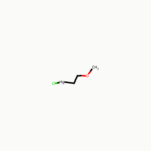 COC[CH2][Hg][Cl]